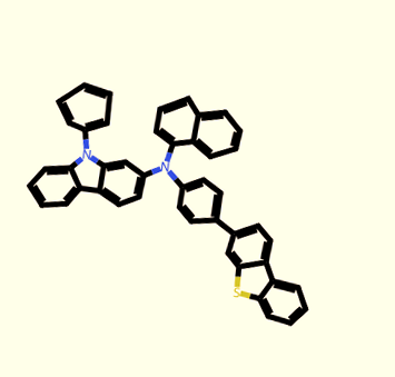 c1ccc(-n2c3ccccc3c3ccc(N(c4ccc(-c5ccc6c(c5)sc5ccccc56)cc4)c4cccc5ccccc45)cc32)cc1